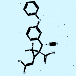 CC1(C)C(C=C(Br)Br)[C@@]1(C(=O)O)[C@@H](C#N)c1cccc(Oc2ccccc2)c1